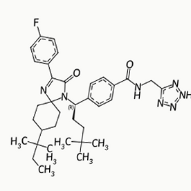 CCC(C)(C)C1CCC2(CC1)N=C(c1ccc(F)cc1)C(=O)N2[C@H](CCC(C)(C)C)c1ccc(C(=O)NCc2nn[nH]n2)cc1